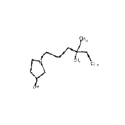 CCC(C)(C)CCCN1CCC(O)C1